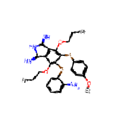 CCOc1ccc(Sc2c(OCCC(C)C)c3c(c(OCCC(C)C)c2Sc2ccccc2N)C(=N)NC3=N)cc1